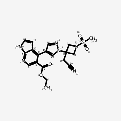 CCOC(=O)c1cnc2[nH]ccc2c1-c1cnn(C2(CC#N)CN(S(C)(=O)=O)C2)c1